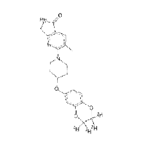 [2H]C1([2H])Oc2ccc(OC3CCN(c4nc5c(cc4C)C(=O)NC5)CC3)cc2OC1([2H])[2H]